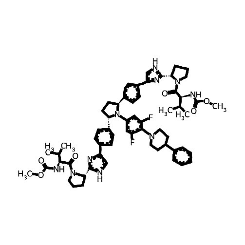 COC(=O)N[C@H](C(=O)N1CCC[C@H]1c1nc(-c2ccc([C@@H]3CC[C@@H](c4ccc(-c5c[nH]c([C@@H]6CCCN6C(=O)[C@@H](NC(=O)OC)C(C)C)n5)cc4)N3c3cc(F)c(N4CCC(c5ccccc5)CC4)c(F)c3)cc2)c[nH]1)C(C)C